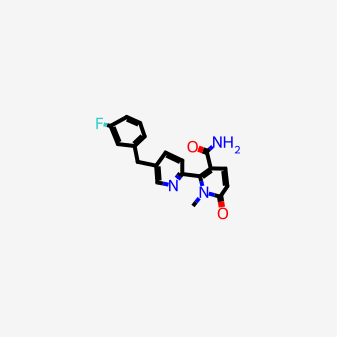 Cn1c(-c2ccc(Cc3cccc(F)c3)cn2)c(C(N)=O)ccc1=O